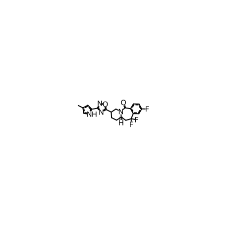 Cc1c[nH]c(-c2noc(C3CC[C@H]4CC(F)(F)c5cc(F)ccc5C(=O)N4C3)n2)c1